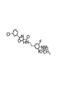 CS(=O)(=O)Nc1c(F)cc(CCNC(=O)c2coc(-c3cccc(Cl)c3)n2)cc1F